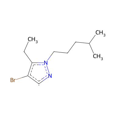 CCc1c(Br)[c]nn1CCCC(C)C